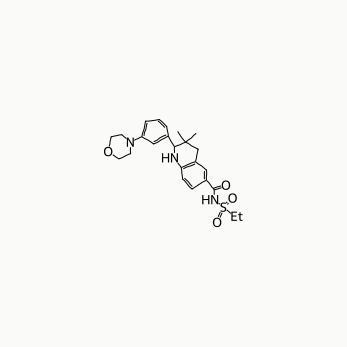 CCS(=O)(=O)NC(=O)c1ccc2c(c1)CC(C)(C)C(c1cccc(N3CCOCC3)c1)N2